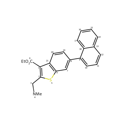 CCOC(=O)c1c(CNC)sc2cc(-c3cccc4ccccc34)ccc12